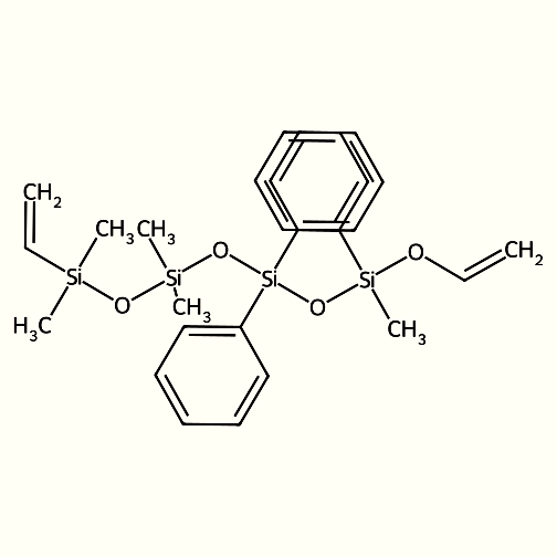 C=CO[Si](C)(O[Si](O[Si](C)(C)O[Si](C)(C)C=C)(c1ccccc1)c1ccccc1)c1ccccc1